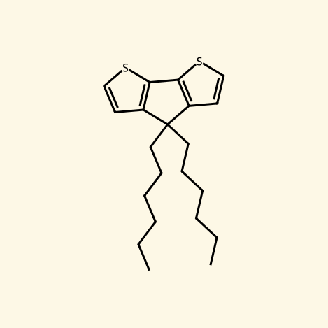 CCCCCCC1(CCCCCC)c2ccsc2-c2sccc21